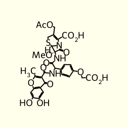 CO[C@@]1(NC(=O)C(NC(=O)c2c(C)oc3cc(O)c(O)cc3c2=O)c2ccc(OCC(=O)O)cc2)C(=O)N2C(C(=O)O)=C(COC(C)=O)CS[C@@H]21